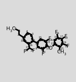 CCCc1ccc(-c2cc(F)c(Oc3cc(F)c(F)c(F)c3C)c(F)c2)c(C(F)F)c1